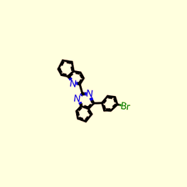 Brc1ccc(-c2nc(-c3ccc4ccccc4n3)nc3ccccc23)cc1